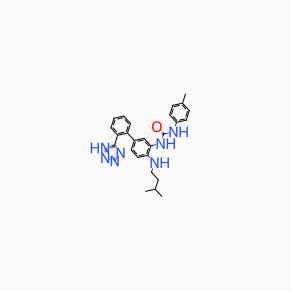 Cc1ccc(NC(=O)Nc2cc(-c3ccccc3-c3nnn[nH]3)ccc2NCCC(C)C)cc1